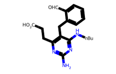 CCCCNc1nc(N)nc(CCC(=O)O)c1Cc1ccccc1C=O